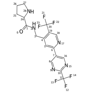 O=C(NCc1cc(-c2cnc(C(F)(F)F)nc2)ncc1C(F)(F)F)C1CCCN1